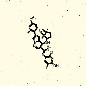 COc1ccc(-c2cc3c(NC4CC[C@](C)(N)C4(C)C)c(/C(N)=N/c4cc(F)c(O)cc4Cl)cnn3c2)c(C)c1